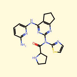 Nc1cccc(Nc2nc(N(C(=O)C3CCCN3)c3nccs3)nc3c2CCC3)n1